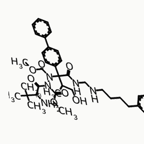 COC(=O)N(C(=O)[C@@H](N)C(C)(C)C)N(C(=O)OC)C(C(=O)NCNCCCCc1ccccc1)(c1ccc(-c2ccccc2)cc1)C(C)CO